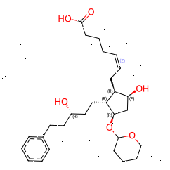 O=C(O)CCC/C=C\C[C@@H]1[C@@H](CC[C@@H](O)CCc2ccccc2)[C@H](OC2CCCCO2)C[C@@H]1O